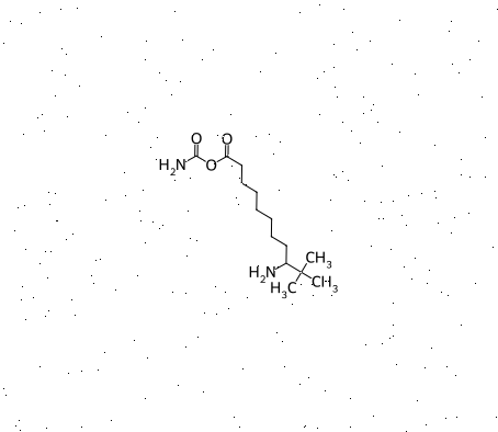 CC(C)(C)C(N)CCCCCCCC(=O)OC(N)=O